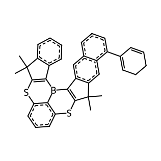 CC1(C)C2=C(B3C4=C(Sc5cccc(c53)S2)C(C)(C)c2cc3c(C5=CCCC=C5)cccc3cc24)c2ccccc21